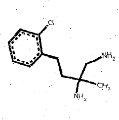 CC(N)(CN)CCc1ccccc1Cl